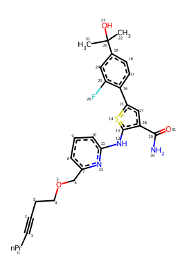 CCCC#CCCOCc1cccc(Nc2sc(-c3ccc(C(C)(C)O)cc3F)cc2C(N)=O)n1